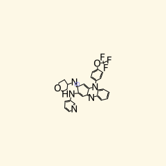 FC(F)(F)Oc1ccc(-n2c3c/c(=N/C4CCOCC4)c(Nc4cccnc4)cc-3nc3ccccc32)cc1